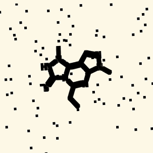 CCC1=NC2C(=C3N(C)NC(=S)N13)C=NN2C